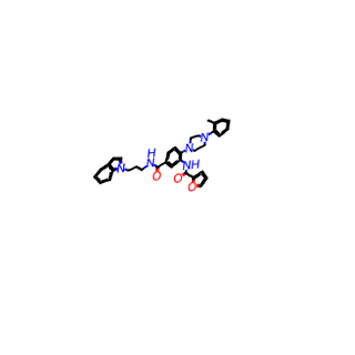 Cc1ccccc1N1CCN(c2ccc(C(=O)NCCCn3ccc4ccccc43)cc2NC(=O)c2ccco2)CC1